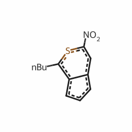 CCCCc1sc([N+](=O)[O-])cc2cccc1-2